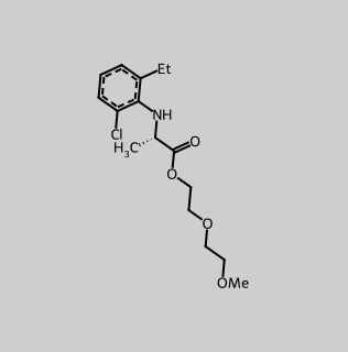 CCc1cccc(Cl)c1N[C@@H](C)C(=O)OCCOCCOC